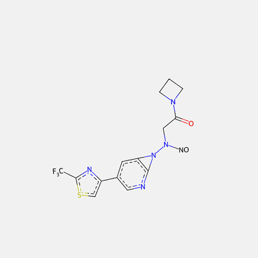 O=NN(CC(=O)N1CCC1)N1c2cc(-c3csc(C(F)(F)F)n3)cnc21